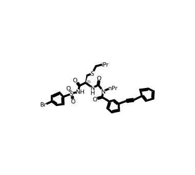 CCCN(C(=O)N[C@H](CSCC(C)C)C(=O)NS(=O)(=O)c1ccc(Br)cc1)C(=O)c1cccc(C#Cc2ccccc2)c1